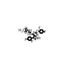 CS(=O)(=O)NCCNc1nc(Oc2ccc(F)cc2F)nc2[nH]nc(-c3ccc(F)cc3F)c12